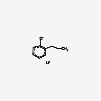 CCCc1ccccc1[O-].[Li+]